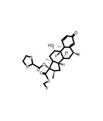 C[C@@H]1C[C@H]2[C@@H]3C[C@H](F)C4=CC(=O)C=C[C@]4(C)[C@@]3(F)[C@@H](O)C[C@]2(C)[C@@]1(OC(=O)C1SCCS1)C(=O)SCF